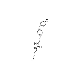 CCCCCCNC(=O)NCCCN1CCN(Cc2ccc(Cl)cc2)CC1